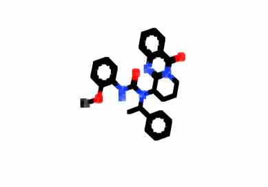 CCOc1ccccc1NC(=O)N(C(C)c1ccccc1)C1CCCn2c1nc1ccccc1c2=O